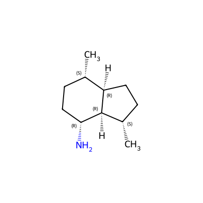 C[C@H]1CC[C@@H](N)[C@H]2[C@@H]1CC[C@@H]2C